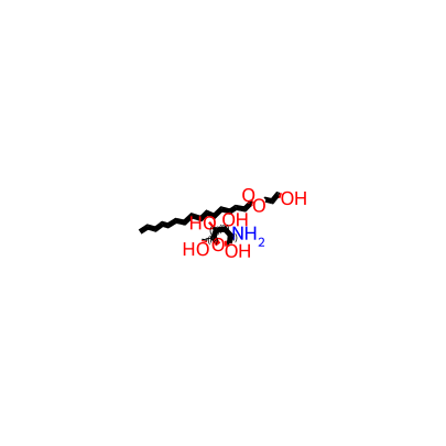 CCCCCCCCCCCCCCCC(=O)OCCCO.N[C@H]1C(O)O[C@H](CO)[C@@H](O)[C@@H]1O